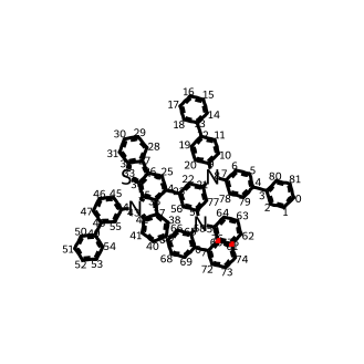 c1ccc(-c2ccc(N(c3ccc(-c4ccccc4)cc3)c3cc(-c4cc5c6ccccc6sc5c5c4c4ccccc4n5-c4cccc(-c5ccccc5)c4)cc(N(c4ccccc4)c4ccccc4-c4ccccc4)c3)cc2)cc1